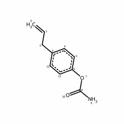 C=CCc1ccc(OC(N)=O)cc1